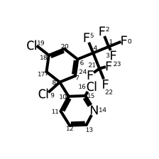 FC(F)(F)C(F)(C1=CC(Cl)(c2cccnc2Cl)[CH]C(Cl)=C1)C(F)(F)F